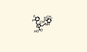 Cc1cccc(NCCc2c(C(=O)O)nn(Cc3cccc(F)c3F)c2C)c1P